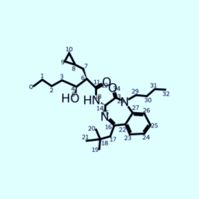 CCCC[C@H](O)[C@@H](CC1CC1)C(=O)N[C@H]1N=C(CC(C)(C)C)c2ccccc2N(CCCC)C1=O